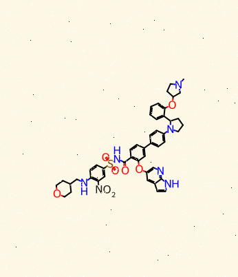 CN1CCC(Oc2ccccc2C2CCCN2c2ccc(-c3ccc(C(=O)NS(=O)(=O)c4ccc(NCC5CCOCC5)c([N+](=O)[O-])c4)c(Oc4cnc5[nH]ccc5c4)c3)cc2)C1